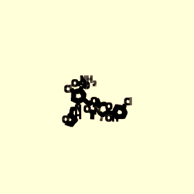 CC(OC(=O)c1cc(S(N)(=O)=O)c(Cl)cc1NCc1ccco1)N1[C@@H](C)[C@](O)(c2cccc(Cl)c2)OCC1(C)C